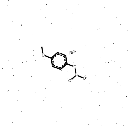 COc1ccc(OP([O-])[O-])cc1.[Ni+2]